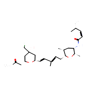 COC(=O)C[C@@H]1C[C@@](O)(CCl)C[C@@H](/C=C/C(C)=C/C[C@@H]2O[C@H](C)[C@H](NC(=O)/C=C\[C@H](C)OC(C)=O)C[C@@H]2C)O1